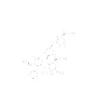 CCN(Cc1cccc(S(=O)(=O)O)c1)c1ccc(C(c2ccc(O)cc2S(=O)(=O)O)=c2ccc(=Cc3cccc(S(=O)(=O)O)c3)cc2)cc1